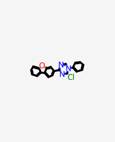 ClC1N=C(c2ccc3c(c2)oc2ccccc23)N=CN1c1ccccc1